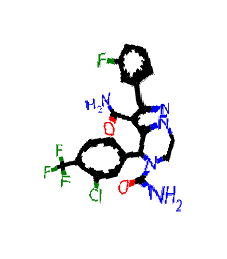 NC(=O)c1c(-c2cccc(F)c2)nn2c1C(c1ccc(C(F)(F)F)c(Cl)c1)N(C(N)=O)CC2